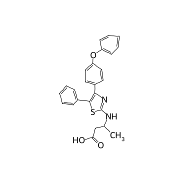 CC(CC(=O)O)Nc1nc(-c2ccc(Oc3ccccc3)cc2)c(-c2ccccc2)s1